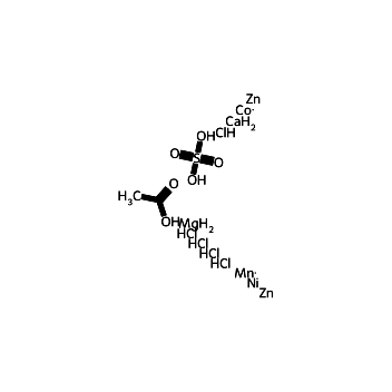 CC(=O)O.Cl.Cl.Cl.Cl.Cl.O=S(=O)(O)O.[CaH2].[Co].[MgH2].[Mn].[Ni].[Zn].[Zn]